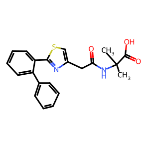 CC(C)(NC(=O)Cc1csc(-c2ccccc2-c2ccccc2)n1)C(=O)O